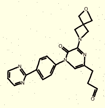 O=CCCc1cn(-c2ccc(-c3ncccn3)cc2)c(=O)c(N2CC3(COC3)C2)n1